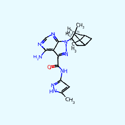 Cc1cc(NC(=O)c2nn([C@@H]3CC4CC([C@@H]3C)C4(C)C)c3ncnc(N)c23)n[nH]1